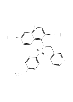 COc1ccc(S(=O)(=O)N(Cc2cccnc2)c2c(C(=O)O)cnc3cc(C(F)(F)F)ccc23)cc1